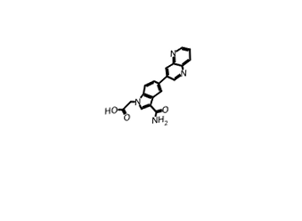 NC(=O)c1cn(CC(=O)O)c2ccc(-c3cnc4cccnc4c3)cc12